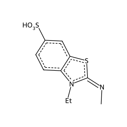 CCn1c(=NC)sc2cc(S(=O)(=O)O)ccc21